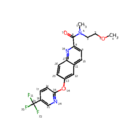 COCCN(C)C(=O)c1ccc2cc(Oc3ccc(C(F)(F)F)cn3)ccc2n1